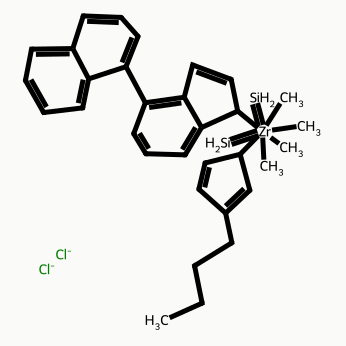 CCCCC1=C[CH]([Zr]([CH3])([CH3])([CH3])([CH3])(=[SiH2])(=[SiH2])[CH]2C=Cc3c(-c4cccc5ccccc45)cccc32)C=C1.[Cl-].[Cl-]